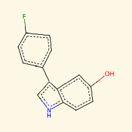 Oc1ccc2[nH]cc(-c3ccc(F)cc3)c2c1